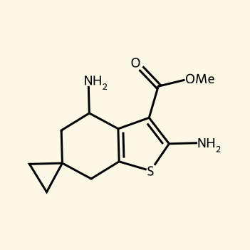 COC(=O)c1c(N)sc2c1C(N)CC1(CC1)C2